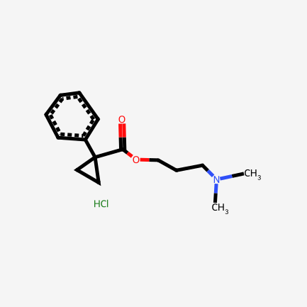 CN(C)CCCOC(=O)C1(c2ccccc2)CC1.Cl